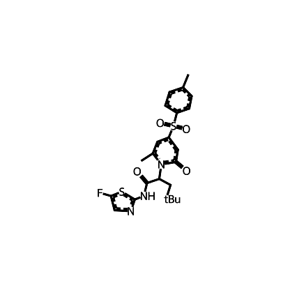 Cc1ccc(S(=O)(=O)c2cc(C)n(C(CC(C)(C)C)C(=O)Nc3ncc(F)s3)c(=O)c2)cc1